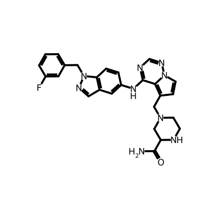 NC(=O)C1CN(Cc2ccn3ncnc(Nc4ccc5c(cnn5Cc5cccc(F)c5)c4)c23)CCN1